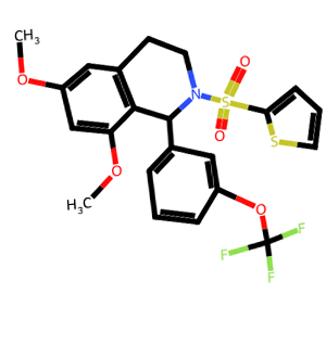 COc1cc2c(c(OC)c1)C(c1cccc(OC(F)(F)F)c1)N(S(=O)(=O)c1cccs1)CC2